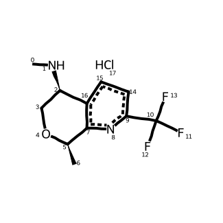 CN[C@@H]1CO[C@H](C)c2nc(C(F)(F)F)ccc21.Cl